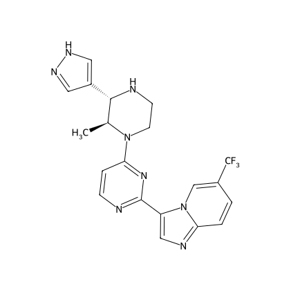 C[C@H]1[C@H](c2cn[nH]c2)NCCN1c1ccnc(-c2cnc3ccc(C(F)(F)F)cn23)n1